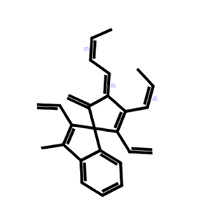 C=CC1=C(/C=C\C)/C(=C/C=C\C)C(=C)C12C(C=C)=C(C)c1ccccc12